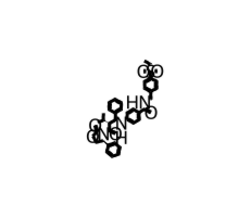 CCS(=O)(=O)c1ccc(CNC(=O)c2ccc(N[C@H](c3ccccc3)[C@H](C(=O)N3C(=O)OC[C@@H]3c3ccccc3)C(C)C)cc2)cc1